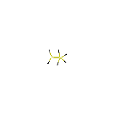 CS(C)=S(C)(C)(C)C